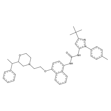 Cc1ccc(-n2nc(C(C)(C)C)cc2NC(=O)Nc2ccc(OCCN3CCOC(C(C)c4ccccc4)C3)c3ccccc23)cc1